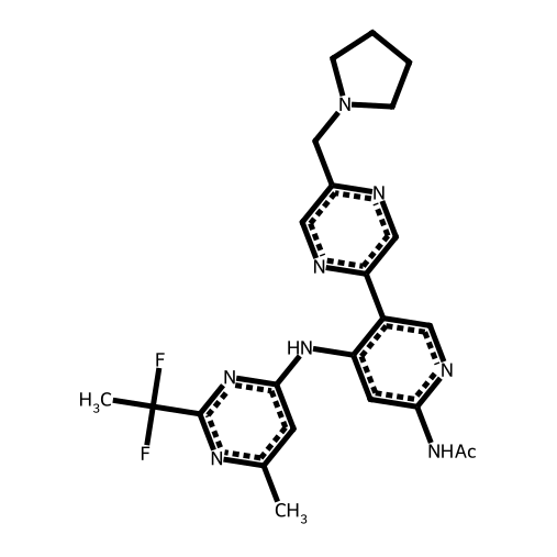 CC(=O)Nc1cc(Nc2cc(C)nc(C(C)(F)F)n2)c(-c2cnc(CN3CCCC3)cn2)cn1